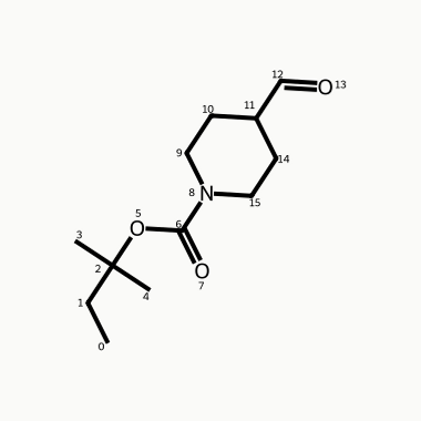 CCC(C)(C)OC(=O)N1CCC(C=O)CC1